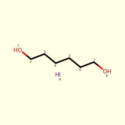 I.OCCCCCCO